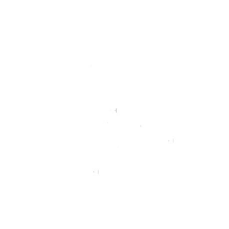 CCOC(C)OCC.O=C(c1ccccc1)C(O)c1ccccc1